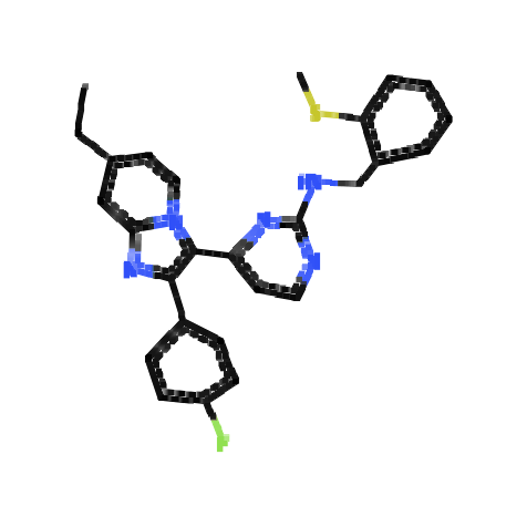 CCc1ccn2c(-c3ccnc(NCc4ccccc4SC)n3)c(-c3ccc(F)cc3)nc2c1